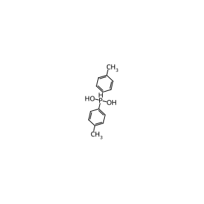 Cc1ccc([PH](O)(O)c2ccc(C)cc2)cc1